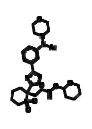 CC(=O)N(c1cccc(-c2ccc([C@@]3(CC(=O)NOC4CCCCO4)CCCCS3(=O)=O)s2)c1)N1CCOCC1